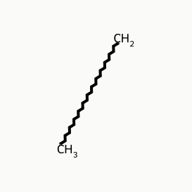 C=CCCCCCCCCCCCCCCCCCCCCCCCCCC